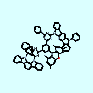 Cc1cc(C)c(B(c2cc(-c3nc(-c4ccccc4)nc(-n4c5ccccc5c5cc6c(cc54)c4ccccc4n6-c4ccccc4)n3)cc(-c3nc(-c4ccccc4)nc(-n4c5ccccc5c5ccc6c7ccccc7n(-c7ccccc7)c6c54)n3)c2)c2c(C)cc(C)cc2C)c(C)c1